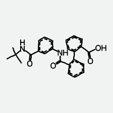 CC(C)(C)NC(=O)c1cccc(NC(=O)c2ccccc2-c2ccccc2C(=O)O)c1